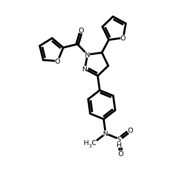 CN(c1ccc(C2=NN(C(=O)c3ccco3)C(c3ccco3)C2)cc1)[SH](=O)=O